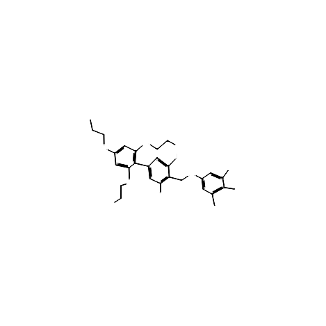 CCCOc1cc(OCCC)c(-c2cc(F)c(COc3cc(C)c(C)c(C)c3)c(F)c2)c(OCCC)c1